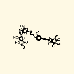 CCNC(=O)[C@H]1O[C@@H](n2cnc3c(N)nc(NCCOc4ccc(C#Cc5nc6c(c(=O)n(CC)c(=O)n6CC)n5C)cc4OC)nc32)[C@H](O)[C@@H]1O